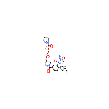 O=C1CCN(c2cc(C(=O)N3CCC(COCCOC(=O)N4CCCCC4)CC3)ccc2C(F)(F)F)C(=O)N1